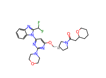 O=C(CC1CCCCO1)N1CC[C@H](COc2cc(-n3c(C(F)F)nc4ccccc43)nc(N3CCOCC3)n2)C1